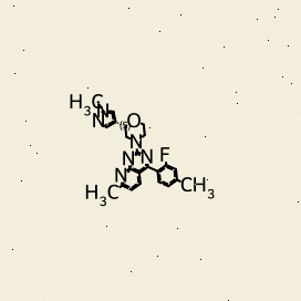 Cc1ccc(-c2nc(N3CCO[C@@H](c4cnn(C)c4)C3)nc3nc(C)ccc23)c(F)c1